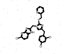 Clc1ccc(Cc2cn(Cc3nc4nc(Cl)ccc4[nH]3)c(SCc3ccccn3)n2)c(Cl)c1